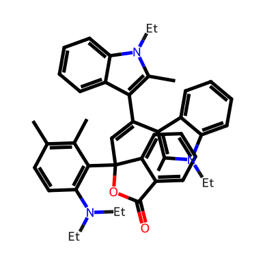 CCN(CC)c1ccc(C)c(C)c1C1(C=C(c2c(C)n(CC)c3ccccc23)c2c(C)n(CC)c3ccccc23)OC(=O)c2ccccc21